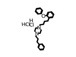 Cl.Cl.c1ccc(CCCN2CCN(CCCCc3ccccc3Oc3ccccc3)CC2)cc1